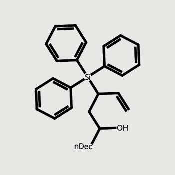 C=CC(CC(O)CCCCCCCCCC)[Si](c1ccccc1)(c1ccccc1)c1ccccc1